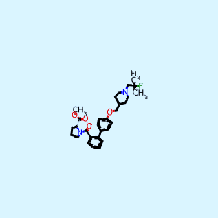 COC(=O)[C@H]1CCCN1C(=O)c1ccccc1-c1ccc(OCC2CCN(CC(C)(C)F)CC2)cc1